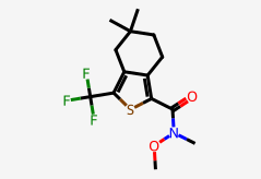 CON(C)C(=O)c1sc(C(F)(F)F)c2c1CCC(C)(C)C2